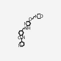 c1cncc(-c2nc3cc(CNc4ccc(OCCN5CCOCC5)cn4)ccc3o2)c1